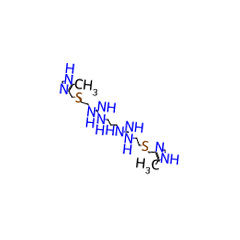 Cc1[nH]cnc1CSCCNC(=N)NCCCNC(=N)NCCSCc1nc[nH]c1C